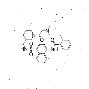 Cc1ccccc1C(=O)Nc1ccc(S(=O)(=O)NC(C)C2CCCN(C(=O)CN(C)C)C2)c2ccccc12